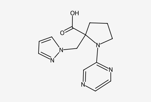 O=C(O)C1(Cn2cccn2)CCCN1c1cnccn1